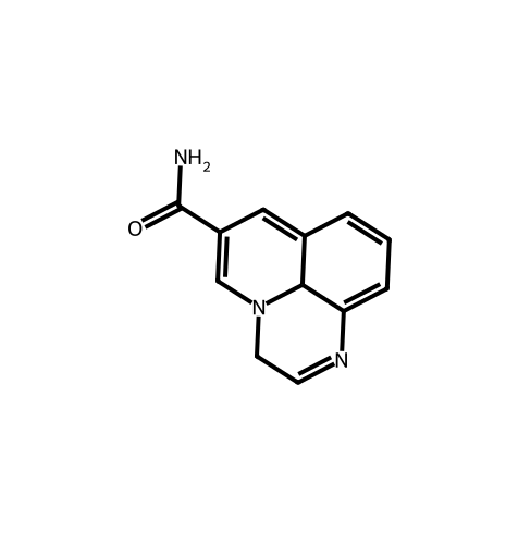 NC(=O)C1=CN2CC=NC3=CC=CC(=C1)C32